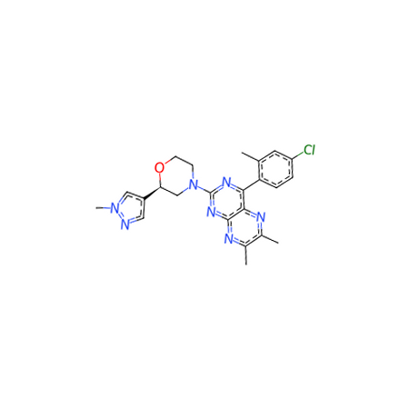 Cc1cc(Cl)ccc1-c1nc(N2CCO[C@H](c3cnn(C)c3)C2)nc2nc(C)c(C)nc12